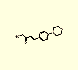 O=C(/C=C/c1ccc(N2CCOCC2)cc1)CO